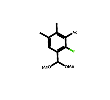 COC(OC)c1cc(C)c(C)c(C(C)=O)c1F